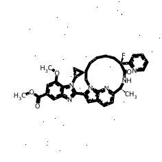 COC(=O)c1cc(OC)c2c(c1)nc(-c1cc3ccc4nc3n1CCCCCC[C@](F)(c1ccccn1)C(=O)N[C@@H]4C)n2C1CC1